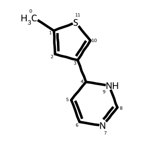 Cc1cc(C2C=CN=CN2)cs1